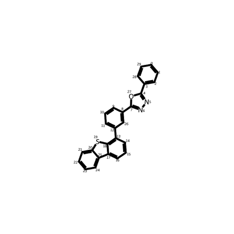 c1ccc(-c2nnc(-c3cccc(-c4cccc5c4sc4ccccc45)c3)o2)cc1